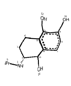 CC(C)N[C@@H]1CCc2c(ccc(O)c2O)C1O